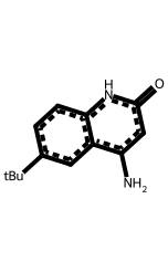 CC(C)(C)c1ccc2[nH]c(=O)cc(N)c2c1